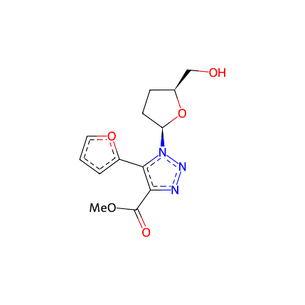 COC(=O)c1nnn([C@H]2CC[C@@H](CO)O2)c1-c1ccco1